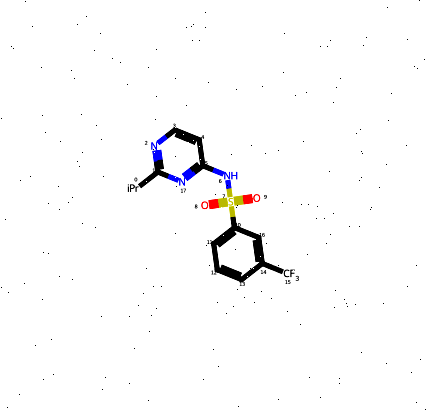 CC(C)c1nccc(NS(=O)(=O)c2cccc(C(F)(F)F)c2)n1